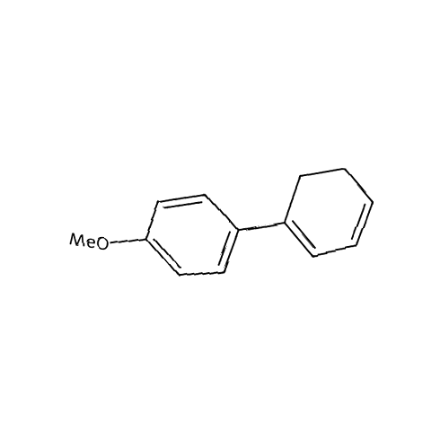 COc1ccc(C2=CC=CCC2)cc1